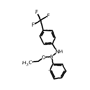 CCOB(Nc1ccc(C(F)(F)F)cc1)c1[c]cccc1